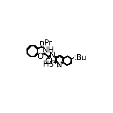 CCCC(NC(=O)/C(C)=N/c1cc2c(nc1S)CC[C@H](C(C)(C)C)C2)C1=C/C=C\CC/C=C\1